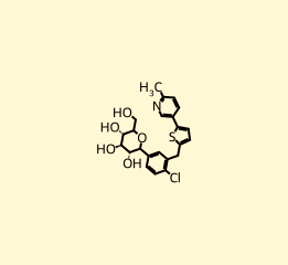 Cc1ccc(-c2ccc(Cc3cc(C4OC(CO)[C@@H](O)[C@H](O)[C@H]4O)ccc3Cl)s2)cn1